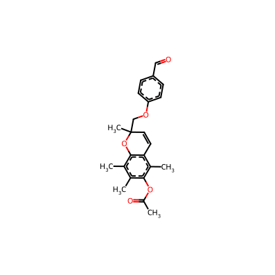 CC(=O)Oc1c(C)c(C)c2c(c1C)C=CC(C)(COc1ccc(C=O)cc1)O2